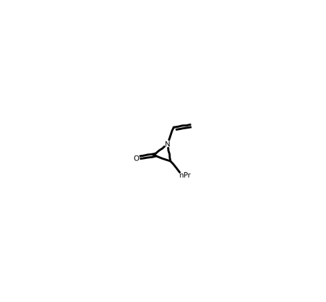 C=CN1C(=O)C1CCC